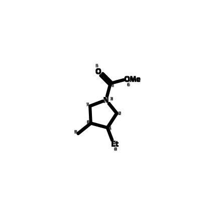 CCC1CN(C(=O)OC)CC1C